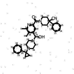 Cc1nc(C(=O)N2CCC(C#N)(c3ccccc3)CC2)cc(C(O)N2CCN(C3(c4ccccc4)CC3)CC2)c1C